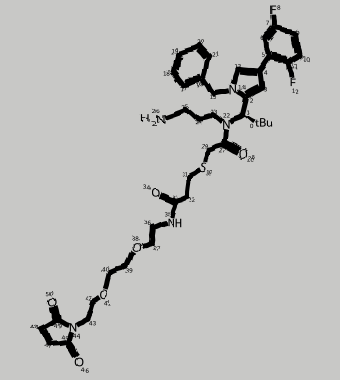 CC(C)(C)[C@H](c1cc(-c2cc(F)ccc2F)cn1Cc1ccccc1)N(CCCN)C(=O)CSCCC(=O)NCCOCCOCCN1C(=O)C=CC1=O